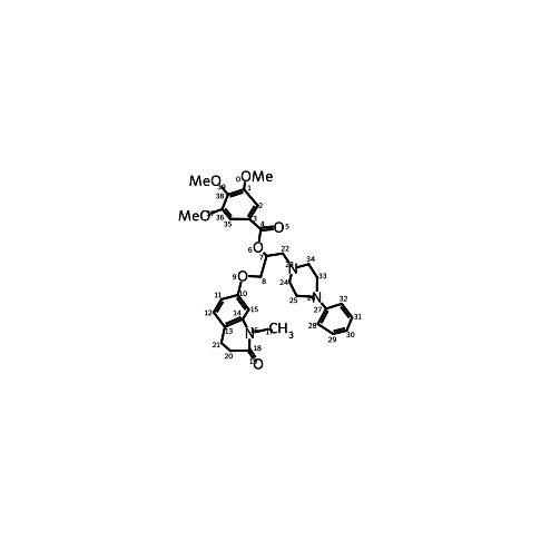 COc1cc(C(=O)OC(COc2ccc3c(c2)N(C)C(=O)CC3)CN2CCN(c3ccccc3)CC2)cc(OC)c1OC